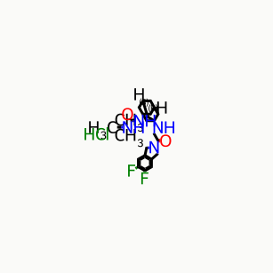 CC(C)(C)NC(=O)NC12C[C@@H]3C[C@@H](CC(NCC(=O)N4Cc5cc(F)c(F)cc5C4)(C3)C1)C2.Cl